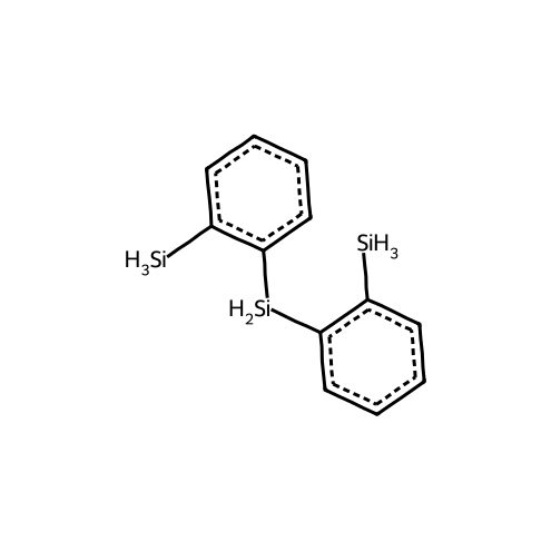 [SiH3]c1ccccc1[SiH2]c1ccccc1[SiH3]